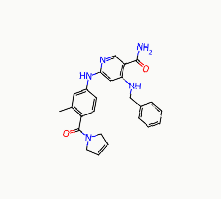 Cc1cc(Nc2cc(NCc3ccccc3)c(C(N)=O)cn2)ccc1C(=O)N1CC=CC1